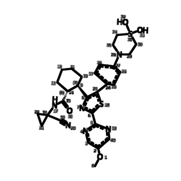 COc1cnc(-c2nc([C@@H]3CCCC[C@H]3C(=O)NC3(C#N)CC3)c(-c3ccc(N4CCS(O)(O)CC4)cc3)s2)nc1